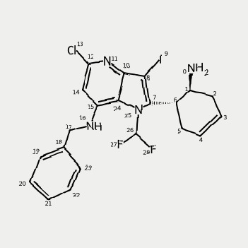 N[C@H]1CC=CC[C@@H]1c1c(I)c2nc(Cl)cc(NCc3ccccc3)c2n1C(F)F